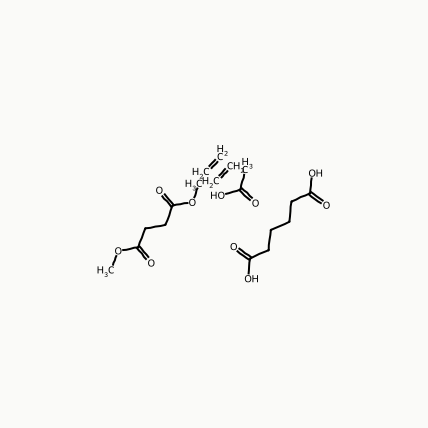 C=C.C=C.CC(=O)O.COC(=O)CCC(=O)OC.O=C(O)CCCCC(=O)O